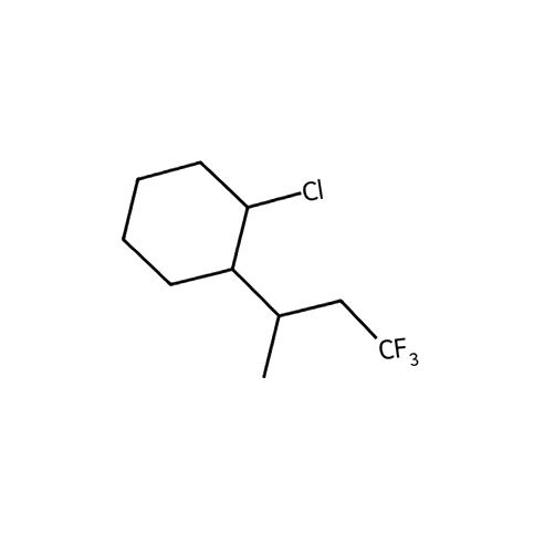 CC(CC(F)(F)F)C1CCCCC1Cl